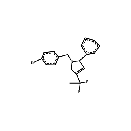 FC(F)(F)C1=CC(c2ccccc2)N(Cc2ccc(Br)cc2)C1